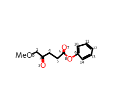 COCC(=O)CCC(=O)Oc1ccccc1